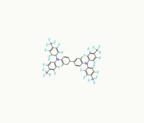 CC1=C(N(c2c(F)c(F)c(C(F)(F)F)c(F)c2F)C2C(F)=C(F)C(C(F)(F)F)=C(F)C2F)C=CC(c2ccc(N(c3c(F)c(F)c(C(F)(F)F)c(F)c3F)c3c(F)c(F)c(C(F)(F)F)c(F)c3F)c(C)c2)C1